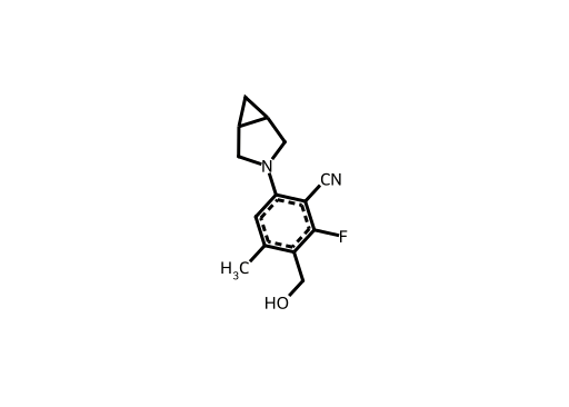 Cc1cc(N2CC3CC3C2)c(C#N)c(F)c1CO